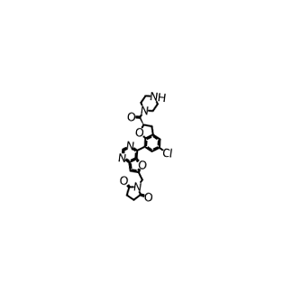 O=C([C@H]1Cc2cc(Cl)cc(-c3ncnc4cc(CN5C(=O)CCC5=O)oc34)c2O1)N1CCNCC1